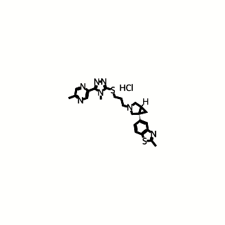 Cc1cnc(-c2nnc(SCCCN3C[C@H]4C[C@@]4(c4ccc5sc(C)nc5c4)C3)n2C)cn1.Cl